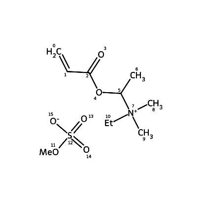 C=CC(=O)OC(C)[N+](C)(C)CC.COS(=O)(=O)[O-]